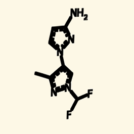 Cc1nn(C(F)F)cc1-n1ccc(N)n1